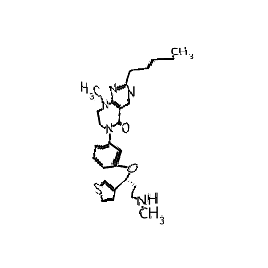 CCCCCc1ncc2c(n1)N(C)CCN(c1cccc(O[C@H](CCNC)c3ccsc3)c1)C2=O